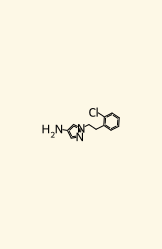 Nc1cnn(CCc2ccccc2Cl)c1